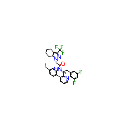 CCc1ccc(-c2cccnc2[C@H](Cc2cc(F)cc(F)c2)NC(=O)Cn2nc(C(F)(F)F)c3c2CCCC3)cc1